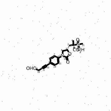 C[C@@](C[C@H]1CN(c2ccc(C#CCC=O)cc2)C(=O)O1)(C(=O)O)S(C)(=O)=O